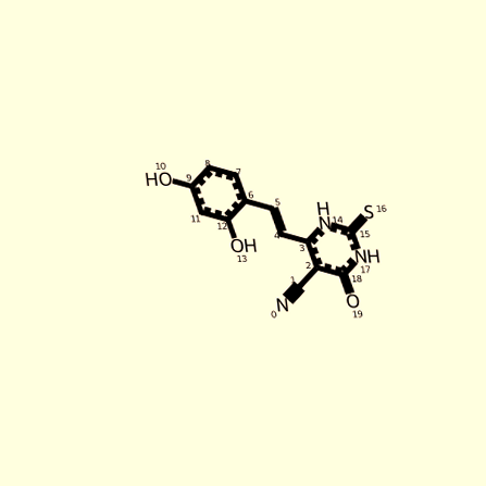 N#Cc1c(C=Cc2ccc(O)cc2O)[nH]c(=S)[nH]c1=O